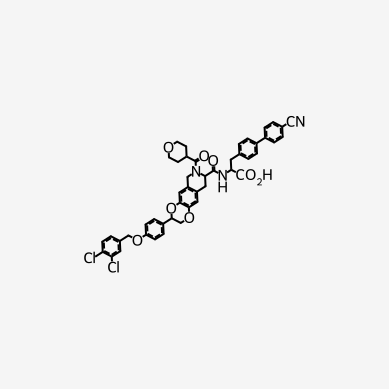 N#Cc1ccc(-c2ccc(CC(NC(=O)C3Cc4cc5c(cc4CN3C(=O)C3CCOCC3)OC(c3ccc(OCc4ccc(Cl)c(Cl)c4)cc3)CO5)C(=O)O)cc2)cc1